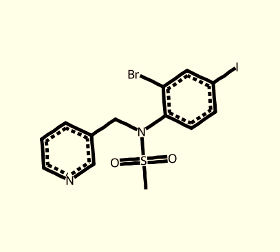 CS(=O)(=O)N(Cc1cccnc1)c1ccc(I)cc1Br